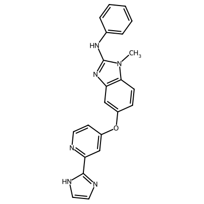 Cn1c(Nc2ccccc2)nc2cc(Oc3ccnc(-c4ncc[nH]4)c3)ccc21